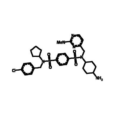 CNc1nccc(CN(C2CCC(N)CC2)S(=O)(=O)c2ccc(S(=O)(=O)N(Cc3ccc(Cl)cc3)C3CCCC3)cc2)n1